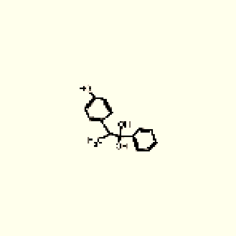 CC(c1ccc(O)cc1)C(O)(O)c1ccccc1